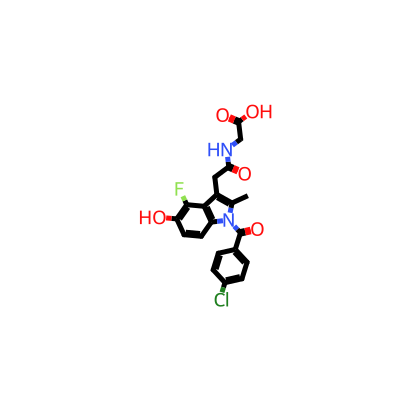 Cc1c(CC(=O)NCC(=O)O)c2c(F)c(O)ccc2n1C(=O)c1ccc(Cl)cc1